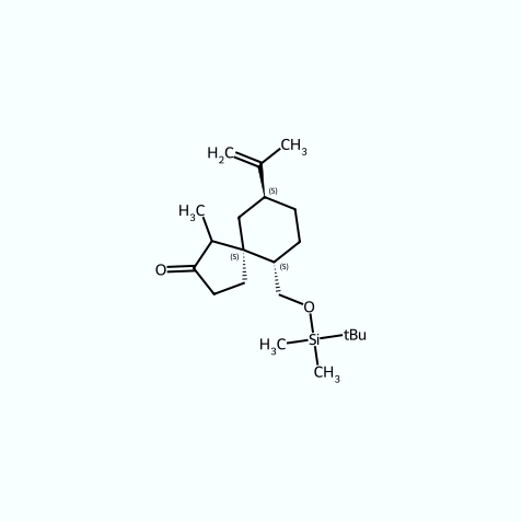 C=C(C)[C@H]1CC[C@H](CO[Si](C)(C)C(C)(C)C)[C@]2(CCC(=O)C2C)C1